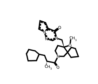 CO[C@@]1(Cn2cnn3cccc3c2=O)CCN(C(=O)[C@H](C)CC2CCCCC2)CC12CCCC2